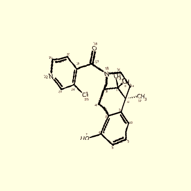 CC1(C)C2Cc3c(O)cccc3[C@]1(C)CCN2C(=O)c1ccncc1Cl